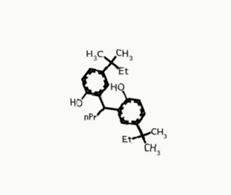 CCCC(c1cc(C(C)(C)CC)ccc1O)c1cc(C(C)(C)CC)ccc1O